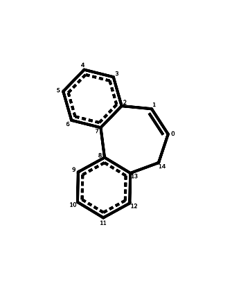 C1=Cc2ccccc2-c2ccccc2C1